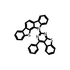 c1ccc(-c2nc(-n3c4ccccc4c4ccc5c6ccccc6sc5c43)nc3sc4ccccc4c23)cc1